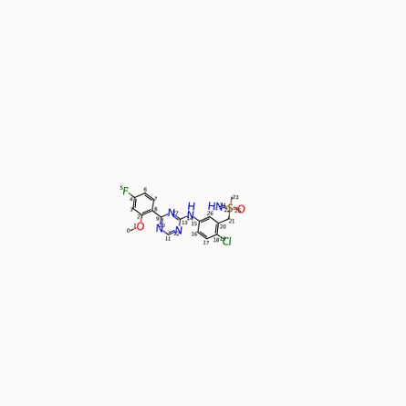 COc1cc(F)ccc1-c1ncnc(Nc2ccc(Cl)c(CS(C)(=N)=O)c2)n1